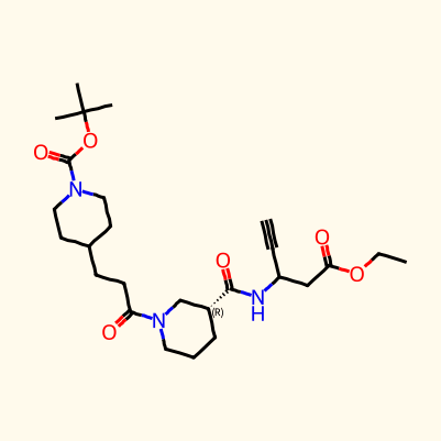 C#CC(CC(=O)OCC)NC(=O)[C@@H]1CCCN(C(=O)CCC2CCN(C(=O)OC(C)(C)C)CC2)C1